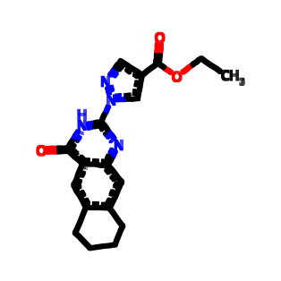 CCOC(=O)c1cnn(-c2nc3cc4c(cc3c(=O)[nH]2)CCCC4)c1